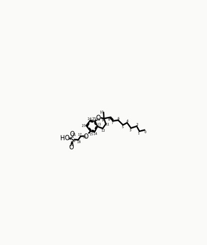 CCCCCCCC=CC1(C)CCc2cc(OCCS(=O)(=O)O)ccc2O1